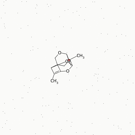 CC1=C2O/C3=C(/C)C4OCC2(CO4)C1O3